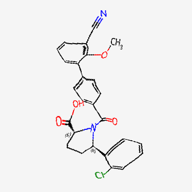 COc1c(C#N)cccc1-c1ccc(C(=O)N2[C@@H](c3ccccc3Cl)CC[C@H]2C(=O)O)cc1